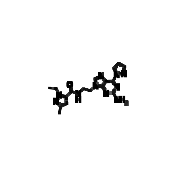 CCn1nc(C)cc1C(=O)NCCn1cnc2c(-n3cccn3)nc(N)nc21